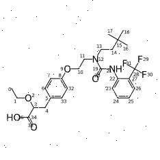 CCOC(Cc1ccc(OCCN(CCC(C)(C)C)C(=O)Nc2ccccc2C(F)(F)F)cc1)C(=O)O